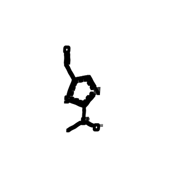 C[S+]([O-])c1ncc(C=O)s1